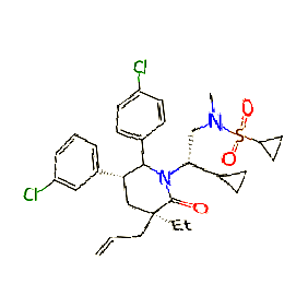 C=CC[C@@]1(CC)C[C@H](c2cccc(Cl)c2)C(c2ccc(Cl)cc2)N([C@H](CN(C)S(=O)(=O)C2CC2)C2CC2)C1=O